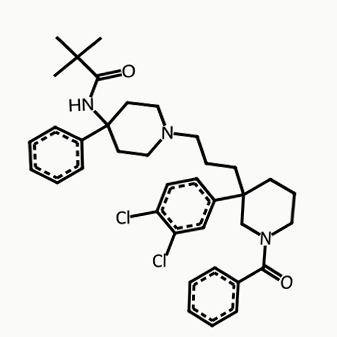 CC(C)(C)C(=O)NC1(c2ccccc2)CCN(CCCC2(c3ccc(Cl)c(Cl)c3)CCCN(C(=O)c3ccccc3)C2)CC1